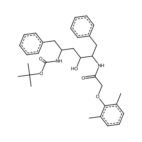 Cc1cccc(C)c1OCC(=O)NC(Cc1ccccc1)C(O)CC(Cc1ccccc1)NC(=O)OC(C)(C)C